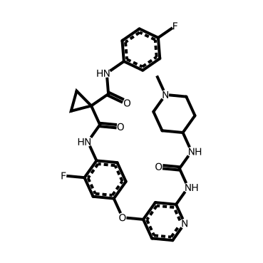 CN1CCC(NC(=O)Nc2cc(Oc3ccc(NC(=O)C4(C(=O)Nc5ccc(F)cc5)CC4)c(F)c3)ccn2)CC1